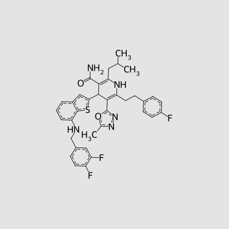 Cc1nnc(C2=C(CCc3ccc(F)cc3)NC(CC(C)C)=C(C(N)=O)C2c2cc3cccc(NCc4ccc(F)c(F)c4)c3s2)o1